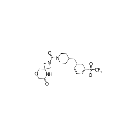 O=C1COCC2(CN(C(=O)N3CCC(Cc4cccc(S(=O)(=O)C(F)(F)F)c4)CC3)C2)N1